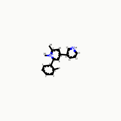 Cc1ccccc1-c1cc(-c2cccnc2)cc(C)[n+]1C